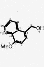 COc1ccc(CO)c2cccnc12